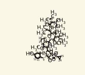 CO[C@H]([C@@H](C)C(=O)N[C@@H](Cc1ccc(O)cc1)C(=O)NS(=O)(=O)C1CC1)[C@@H]1CCCN1C(=O)C[C@@H](OC)[C@H](C(C)C)N(C)C(=O)[C@@H](NC(=O)[C@H](C(C)C)N(C)C)C(C)C